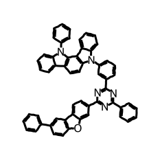 c1ccc(-c2ccc3oc4cc(-c5nc(-c6ccccc6)nc(-c6cccc(-n7c8ccccc8c8c7ccc7c9ccccc9n(-c9ccccc9)c78)c6)n5)ccc4c3c2)cc1